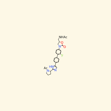 CC(=O)NCC1CN(c2ccc(-c3ccc(-c4cnc(C5CCCN5C(C)=O)[nH]4)cc3)c(F)c2)C(=O)O1